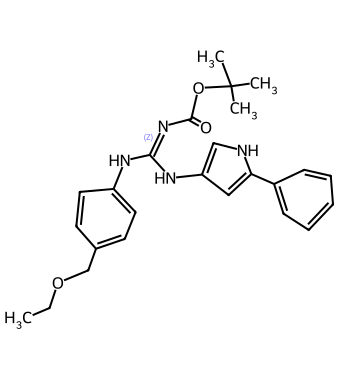 CCOCc1ccc(N/C(=N/C(=O)OC(C)(C)C)Nc2c[nH]c(-c3ccccc3)c2)cc1